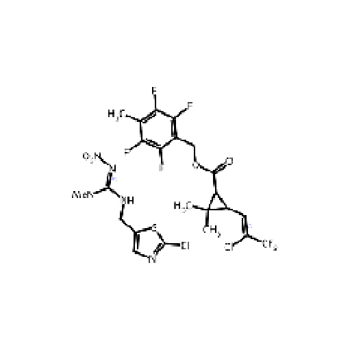 CN/C(=N\[N+](=O)[O-])NCc1cnc(Cl)s1.Cc1c(F)c(F)c(COC(=O)C2C(/C=C(\Cl)C(F)(F)F)C2(C)C)c(F)c1F